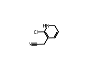 N#CCC1=C(Cl)NC[C]=C1